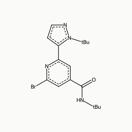 CC(C)(C)NC(=O)c1cc(Br)nc(-c2ccnn2C(C)(C)C)c1